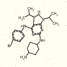 CC(C)N1NN(C(C)C)c2c(Nc3ccc(Br)cc3)nc(NC3CCC(N)CC3)nc21